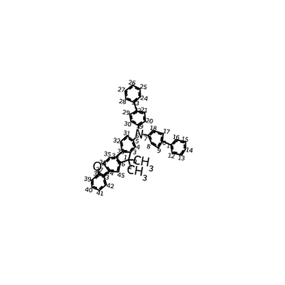 CC1(C)c2cc(N(c3ccc(-c4ccccc4)cc3)c3ccc(-c4ccccc4)cc3)ccc2-c2cc3oc4ccccc4c3cc21